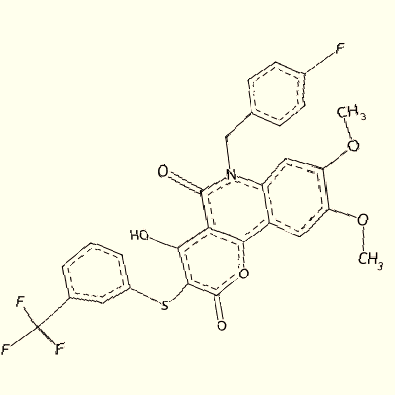 COc1cc2c3oc(=O)c(Sc4cccc(C(F)(F)F)c4)c(O)c3c(=O)n(Cc3ccc(F)cc3)c2cc1OC